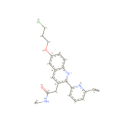 COc1cccc(-c2nc3ccc(OCCCCl)cc3cc2CC(=O)NC(C)C)n1